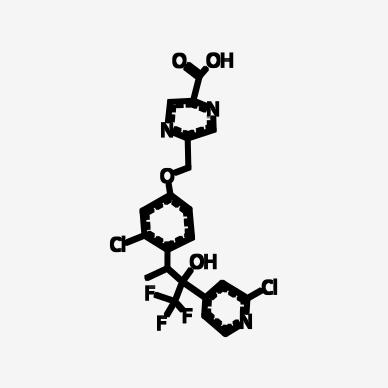 CC(c1ccc(OCc2cnc(C(=O)O)cn2)cc1Cl)C(O)(c1ccnc(Cl)c1)C(F)(F)F